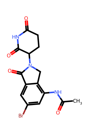 CC(=O)Nc1cc(Br)cc2c1CN(C1CCC(=O)NC1=O)C2=O